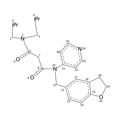 CC(C)CN(CC(C)C)C(=O)CC(=O)N(Cc1ccc2c(c1)CCO2)c1ccncc1